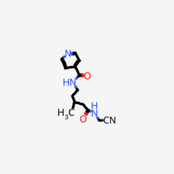 CC(CCNC(=O)c1ccncc1)CC(=O)NCC#N